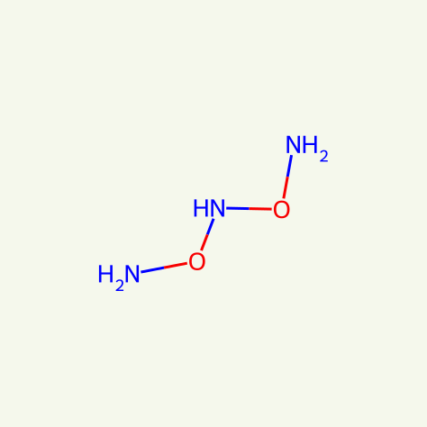 NONON